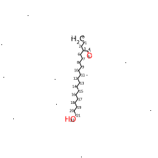 C=CCC([C]=O)CCCCCCCCCCCCCCCCO